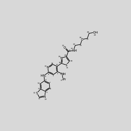 CC(C)Nc1cc(Nc2ccc3ncsc3c2)ncc1-c1nc(C(=O)NCCOCCO)cs1